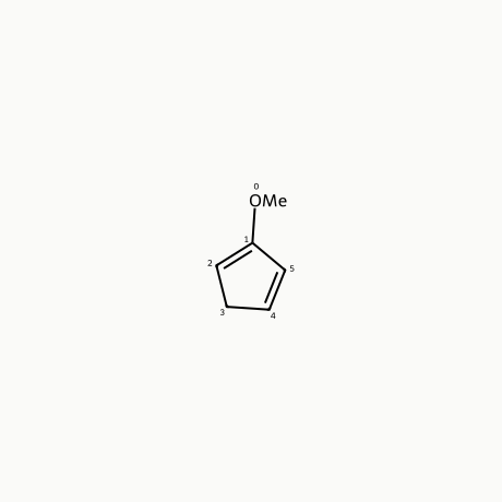 COC1=CCC=C1